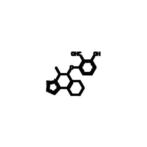 CC1C(Oc2cccc(O)c2C=O)C2=C(CCCC2)c2ccnn21